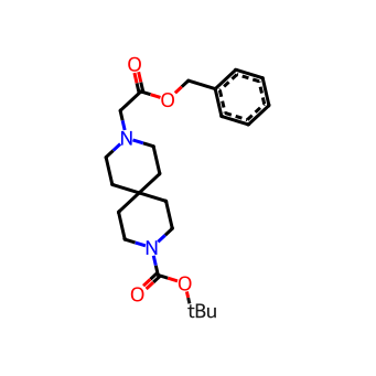 CC(C)(C)OC(=O)N1CCC2(CCN(CC(=O)OCc3ccccc3)CC2)CC1